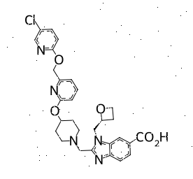 O=C(O)c1ccc2nc(CN3CCC(Oc4cccc(COc5ccc(Cl)cn5)n4)CC3)n(C[C@@H]3CCO3)c2c1